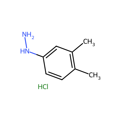 Cc1ccc(NN)cc1C.Cl